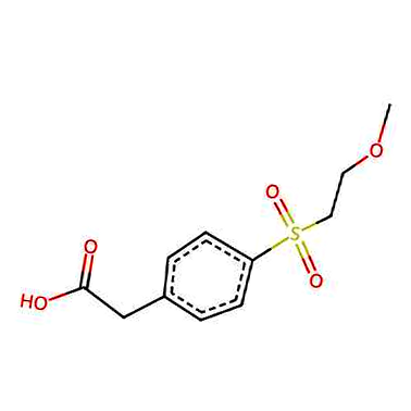 COCCS(=O)(=O)c1ccc(CC(=O)O)cc1